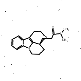 CN(C)C(=O)CCC12CCCn3c1c(c1ccccc13)CCO2